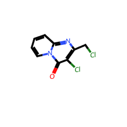 O=c1c(Cl)c(CCl)nc2ccccn12